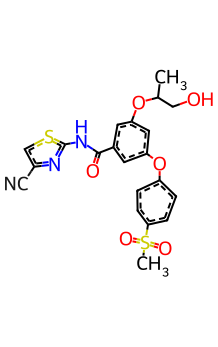 CC(CO)Oc1cc(Oc2ccc(S(C)(=O)=O)cc2)cc(C(=O)Nc2nc(C#N)cs2)c1